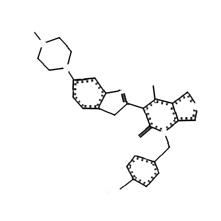 COc1ccc(Cn2c(=O)c(C3=Nc4cc(N5CCN(C)CC5)ccc4C3)c(C)c3cscc32)cc1